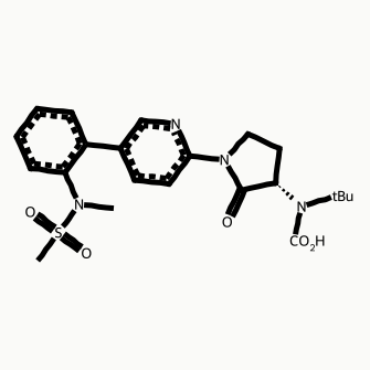 CN(c1ccccc1-c1ccc(N2CC[C@H](N(C(=O)O)C(C)(C)C)C2=O)nc1)S(C)(=O)=O